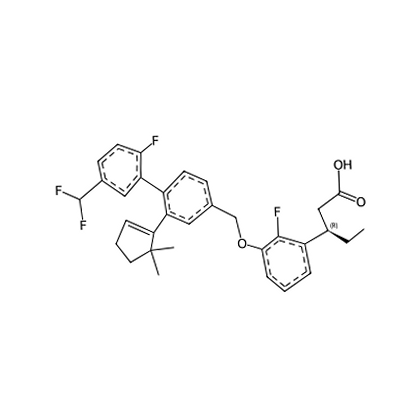 CC[C@H](CC(=O)O)c1cccc(OCc2ccc(-c3cc(C(F)F)ccc3F)c(C3=CCCC3(C)C)c2)c1F